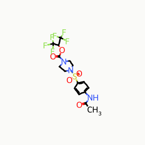 CC(=O)Nc1ccc(S(=O)(=O)N2CCN(C(=O)OC(C(F)(F)F)C(F)(F)F)CC2)cc1